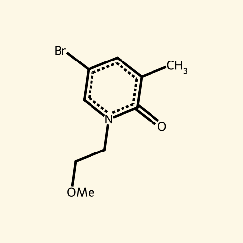 COCCn1cc(Br)cc(C)c1=O